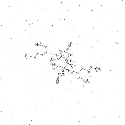 CCCCC(CC)CO[C@@H]1[C@H]2OC(=O)O[C@H]2[C@@H](OCC(CC)CCCC)[C@@H]2OC(=O)O[C@@H]12